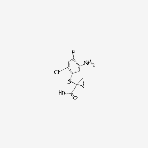 Nc1cc(SC2(C(=O)O)CC2)c(Cl)cc1F